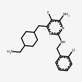 NCC1CCC(Cc2nc(NCc3ccccc3Cl)nc(N)c2F)CC1